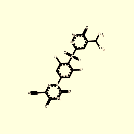 CC(C)c1cc(S(=O)(=O)c2c(Cl)cc(-n3nc(C#N)c(=O)[nH]c3=O)cc2Cl)n[nH]c1=O